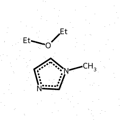 CCOCC.Cn1ccnc1